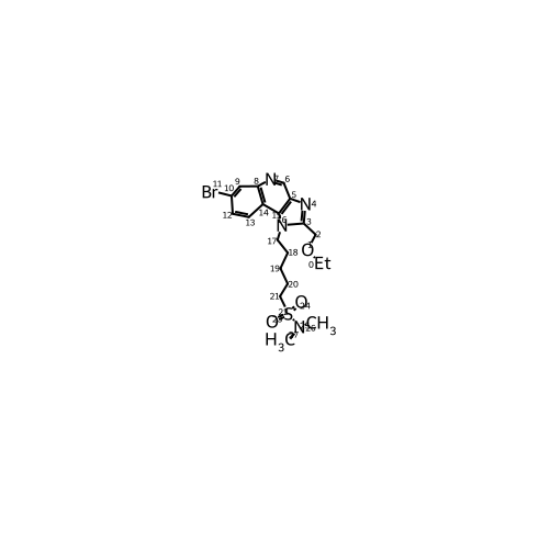 CCOCc1nc2cnc3cc(Br)ccc3c2n1CCCCCS(=O)(=O)N(C)C